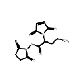 CCCC(C(=O)ON1C(=O)CCC1=O)N1C(=O)C=CC1=O